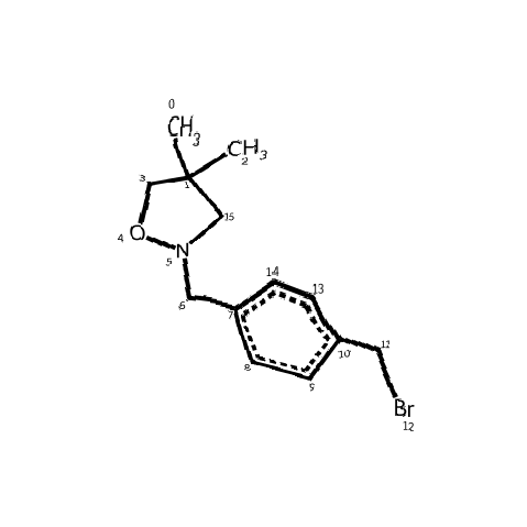 CC1(C)CON(Cc2ccc(CBr)cc2)C1